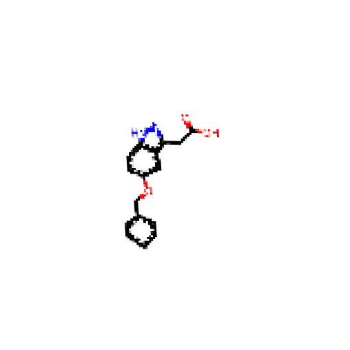 O=C(O)Cc1n[nH]c2ccc(OCc3ccccc3)cc12